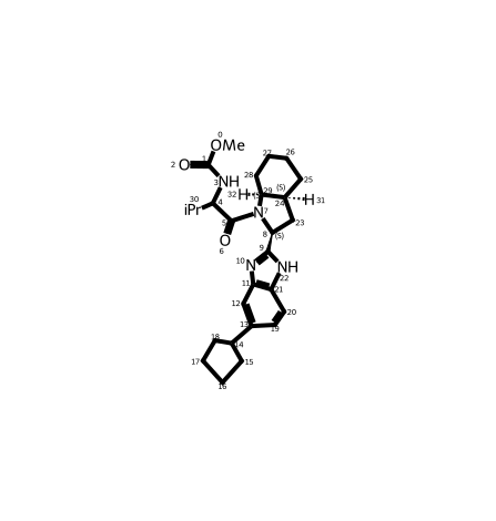 COC(=O)NC(C(=O)N1[C@H](c2nc3cc(C4CCCC4)ccc3[nH]2)C[C@@H]2CCCC[C@@H]21)C(C)C